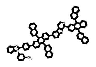 CC1C=CC=C(n2c(-c3ccc(-c4ccc5c(-c6ccc7ccccc7c6)c6cc(-c7ccc8sc9c(-c%10ccc%11c(-c%12ccc%13ccccc%13c%12)c%12ccccc%12c(-c%12ccc%13ccccc%13c%12)c%11c%10)nccc9c8c7)ccc6c(-c6ccc7ccccc7c6)c5c4)cc3)nc3ccccc32)C1